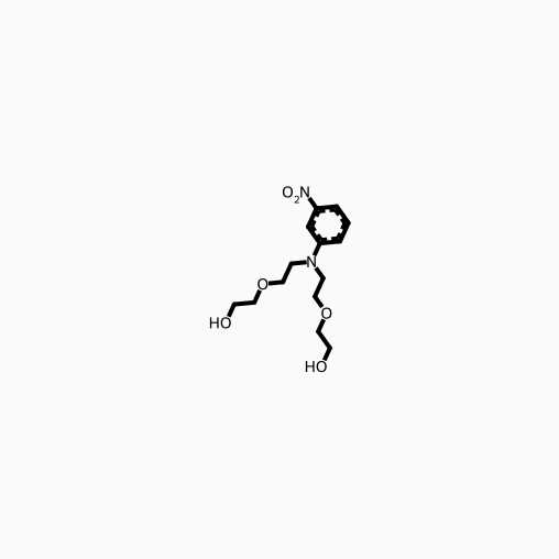 O=[N+]([O-])c1cccc(N(CCOCCO)CCOCCO)c1